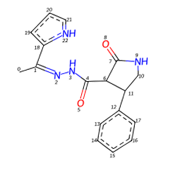 C/C(=N/NC(=O)C1C(=O)NCC1c1ccccc1)c1ccc[nH]1